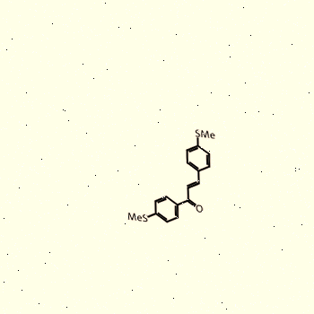 CSc1ccc(C=CC(=O)c2ccc(SC)cc2)cc1